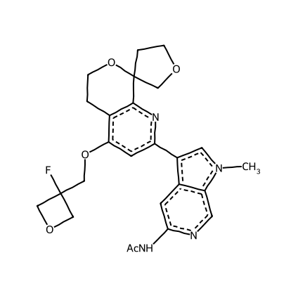 CC(=O)Nc1cc2c(-c3cc(OCC4(F)COC4)c4c(n3)C3(CCOC3)OCC4)cn(C)c2cn1